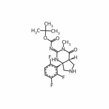 CN1C(=O)[C@@H]2CNC[C@]2(c2c(F)ccc(F)c2F)N/C1=N/C(=O)OC(C)(C)C